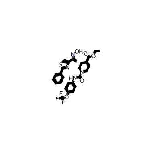 C/C(=N\O)c1csc(-c2ccccc2)n1.CCOC(=O)C1CCN(C(=O)Nc2ccc(OC(F)(F)F)cc2)CC1